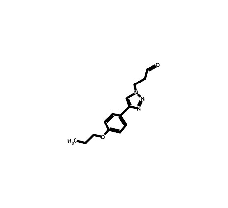 CCCOc1ccc(-c2cn(CCC=O)nn2)cc1